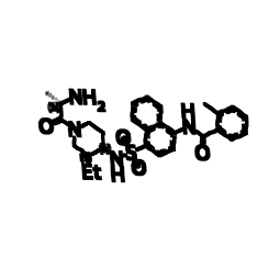 CC[C@H]1CN(C(=O)[C@H](C)N)CC[C@@H]1NS(=O)(=O)c1ccc(NC(=O)c2ccccc2C)c2ccccc12